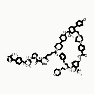 Cc1ncsc1-c1ccc([C@H](C)NC(=O)[C@@H]2CCCN2C(=O)C(NC(=O)CCCC(=O)N2CCC(C3CCC(NC4(C)CCC(c5ccc(Cl)cc5)=C(CN5CCN(c6ccc(C(=O)NSc7ccc(N[C@H](CCN8CCOCC8)CSc8ccccc8)c(S(=O)(=O)C(F)(F)F)c7)cc6)CC5)C4)CC3)CC2)C(C)(C)C)cc1